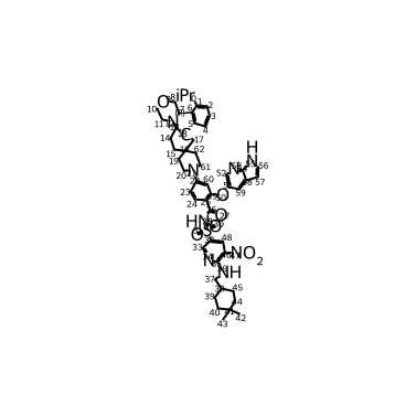 CC(C)c1ccccc1[C@@H]1COCCN1C1CCC2(CC1)CCN(c1ccc(C(=O)NS(=O)(=O)c3cnc(NCC4CCC(C)(C)CC4)c([N+](=O)[O-])c3)c(Oc3cnc4[nH]ccc4c3)c1)CC2